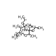 CCOC(C)C(C)(NC(C)(OCC)C(C)OCC)OCC